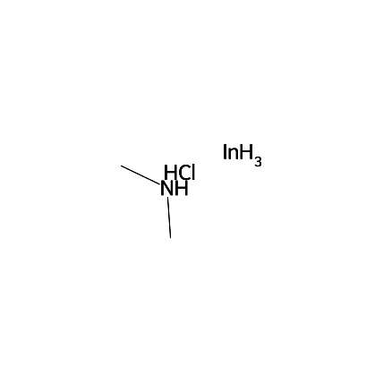 CNC.Cl.[InH3]